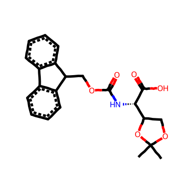 CC1(C)OCC([C@H](NC(=O)OCC2c3ccccc3-c3ccccc32)C(=O)O)O1